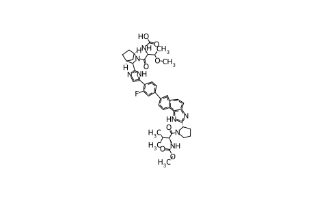 COC(=O)N[C@H](C(=O)N1CCC[C@H]1c1nc2ccc3cc(-c4ccc(-c5cnc(C6[C@H]7CC[C@H](C7)N6C(=O)[C@@H](NC(=O)O)[C@@H](C)OC)[nH]5)c(F)c4)ccc3c2[nH]1)C(C)C